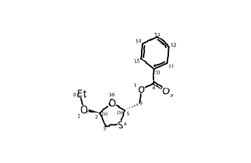 CCO[C@@H]1CS[C@@H](COC(=O)c2ccccc2)O1